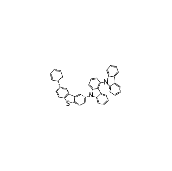 C1=CCC(c2ccc3sc4ccc(-n5c6ccccc6c6c(-n7c8ccccc8c8ccccc87)cccc65)cc4c3c2)C=C1